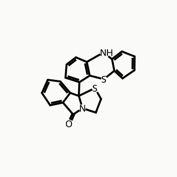 O=C1c2ccccc2C2(c3cccc4c3Sc3ccccc3N4)SCCN12